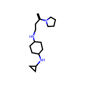 C=C(CCNC1CCC(NC2CC2)CC1)N1CCCC1